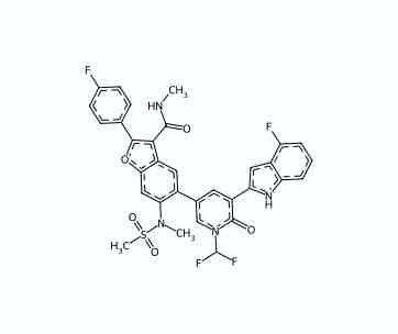 CNC(=O)c1c(-c2ccc(F)cc2)oc2cc(N(C)S(C)(=O)=O)c(-c3cc(-c4cc5c(F)cccc5[nH]4)c(=O)n(C(F)F)c3)cc12